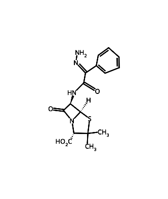 CC1(C)S[C@@H]2[C@H](NC(=O)C(=NN)c3ccccc3)C(=O)N2[C@H]1C(=O)O